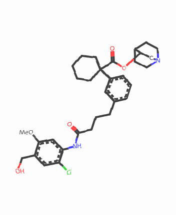 COc1cc(NC(=O)CCCc2cccc(C3(C(=O)OC4CN5CCC4CC5)CCCCC3)c2)c(Cl)cc1CO